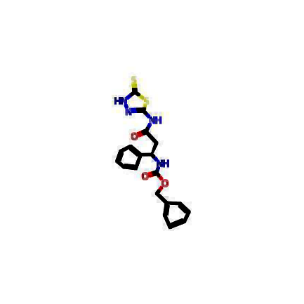 O=C(C[C@@H](NC(=O)OCc1ccccc1)c1ccccc1)Nc1n[nH]c(=S)s1